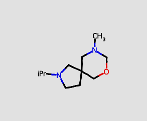 CC(C)N1CCC2(COCN(C)C2)C1